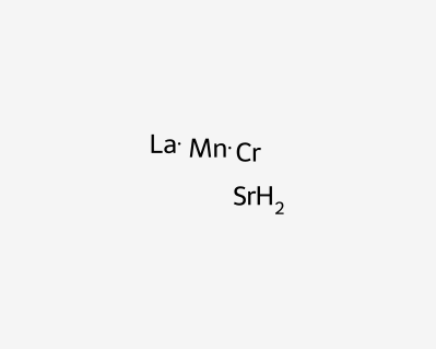 [Cr].[La].[Mn].[SrH2]